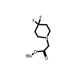 CC(C)(C)OC(=O)CN1CCC(F)(F)CC1